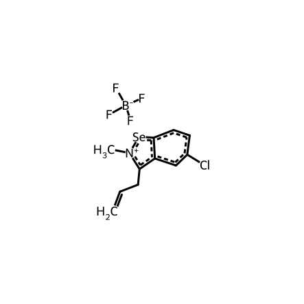 C=CCc1c2cc(Cl)ccc2[se][n+]1C.F[B-](F)(F)F